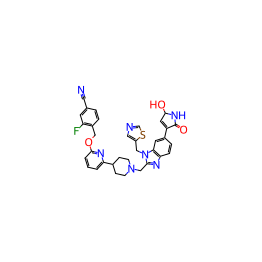 N#Cc1ccc(COc2cccc(C3CCN(Cc4nc5ccc(C6=CC(O)NC6=O)cc5n4Cc4cncs4)CC3)n2)c(F)c1